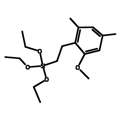 CCO[Si](CCc1c(C)cc(C)cc1OC)(OCC)OCC